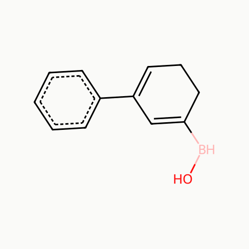 OBC1=CC(c2ccccc2)=CCC1